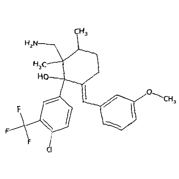 COc1cccc(C=C2CCC(C)C(C)(CN)C2(O)c2ccc(Cl)c(C(F)(F)F)c2)c1